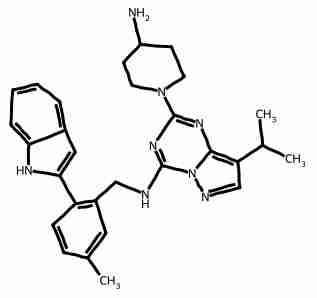 Cc1ccc(-c2cc3ccccc3[nH]2)c(CNc2nc(N3CCC(N)CC3)nc3c(C(C)C)cnn23)c1